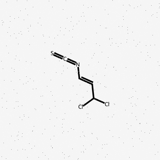 S=C=NC=CC(Cl)Cl